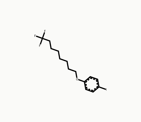 FC(F)(F)CCCCCCCOc1ccc(I)cc1